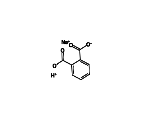 O=C([O-])c1ccccc1C(=O)[O-].[H+].[Na+]